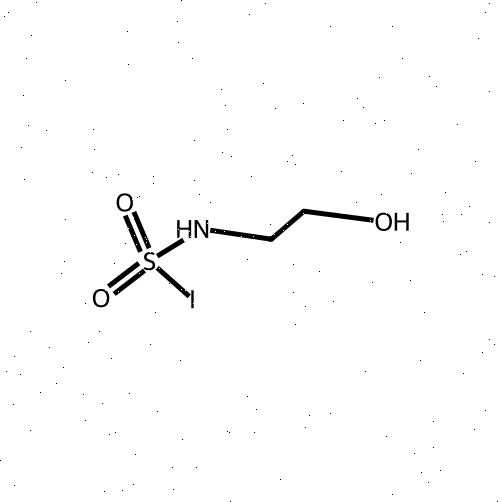 O=S(=O)(I)NCCO